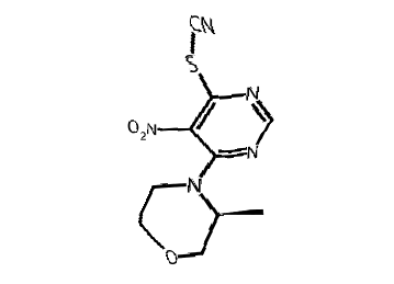 C[C@H]1COCCN1c1ncnc(SC#N)c1[N+](=O)[O-]